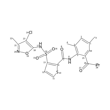 Cc1cc(C)c(NC(=O)c2sccc2S(=O)(=O)Nc2onc(C)c2Cl)c(C(=O)C(C)C)c1